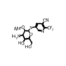 COC1C(Sc2cnc(C(F)(F)F)c(C#N)c2)OC(CO)C(O)C1N